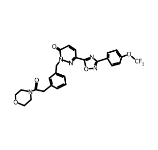 O=C(Cc1cccc(Cn2nc(-c3nc(-c4ccc(OC(F)(F)F)cc4)no3)ccc2=O)c1)N1CCOCC1